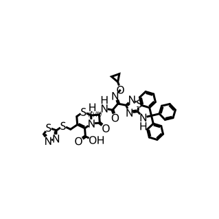 O=C(O)C1=C(CSc2nncs2)CS[C@H]2[C@H](NC(=O)C(=NOC3CC3)c3nsc(NC(c4ccccc4)(c4ccccc4)c4ccccc4)n3)C(=O)N12